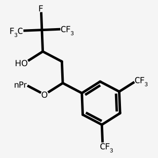 CCCOC(CC(O)C(F)(C(F)(F)F)C(F)(F)F)c1cc(C(F)(F)F)cc(C(F)(F)F)c1